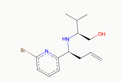 C=CC[C@H](N[C@H](CO)C(C)C)c1cccc(Br)n1